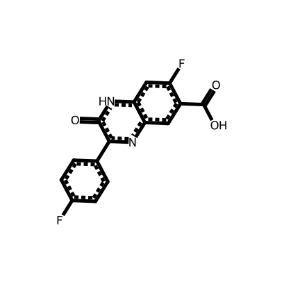 O=C(O)c1cc2nc(-c3ccc(F)cc3)c(=O)[nH]c2cc1F